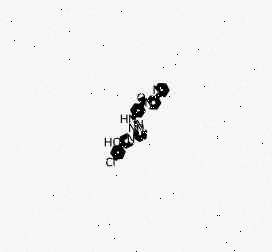 O=C(c1ccc(Nc2nc3c(N4CCC(O)(c5ccc(Cl)cc5)CC4)cccn3n2)cc1)N1CCCC(c2ccccn2)C1